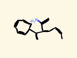 C=C(N)/C(=C\C=C/C)C(=C)C1C=CC=CC=C1